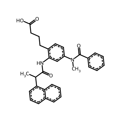 CC(C(=O)Nc1cc(N(C)C(=O)c2ccccc2)ccc1CCCC(=O)O)c1cccc2ccccc12